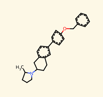 CC1CCCN1C1CCc2cc(-c3ccc(OCc4ccccc4)cc3)ccc2C1